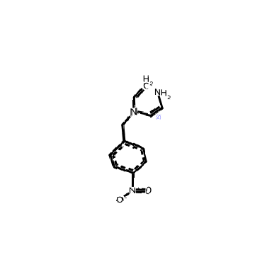 C=CN(/C=C\N)Cc1ccc([N+](=O)[O-])cc1